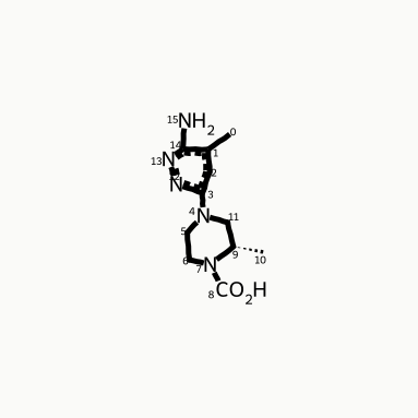 Cc1cc(N2CCN(C(=O)O)[C@@H](C)C2)nnc1N